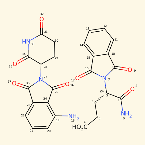 NC(=O)[C@H](CCC(=O)O)N1C(=O)c2ccccc2C1=O.Nc1cccc2c1C(=O)N(C1CCC(=O)NC1=O)C2=O